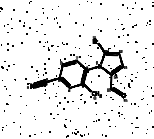 Cc1cc(C#N)ccc1-n1c(Br)ccc1C=O